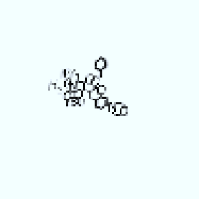 CC(C)C[C@@H](C(=O)C[C@H](Cc1ccc(N2CCOCC2)cc1)C(=O)OCc1ccccc1)N(C)C(=O)OC(C)(C)C